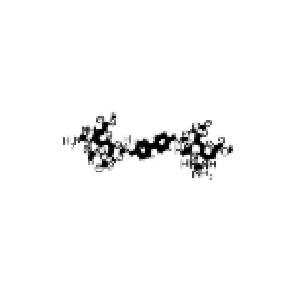 COC(=O)C1=C[C@H](NC(=N)N)[C@@H](NC(C)=O)[C@H]([C@H](OC(=O)NCc2ccc(-c3ccc(CNC(=O)O[C@@H]([C@@H]4OC(C(=O)OC)=C[C@H](NC(=N)N)[C@H]4NC(C)=O)[C@H]4COC(=O)O4)cc3)cc2)[C@H]2COC(=O)O2)O1